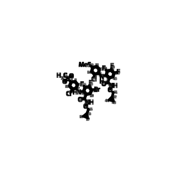 CS(=O)(=O)c1ccc(Nc2c(C(=O)NOCC3CC3)cc(Br)c(F)c2F)c(Cl)c1.CSc1ccc(Nc2c(C(=O)NOCC3CC3)cc(F)c(F)c2F)c(Cl)c1